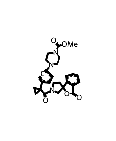 COC(=O)N1CCN(c2ccc(C3(C(=O)N4CCC5(C4)OC(=O)c4ccccc45)CC3)cc2)CC1